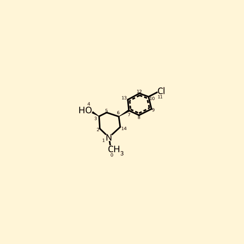 CN1C[C@@H](O)C[C@@H](c2ccc(Cl)cc2)C1